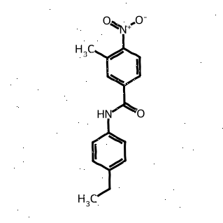 CCc1ccc(NC(=O)c2ccc([N+](=O)[O-])c(C)c2)cc1